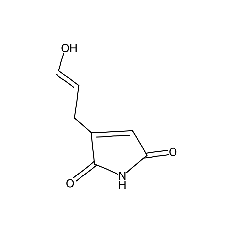 O=C1C=C(CC=CO)C(=O)N1